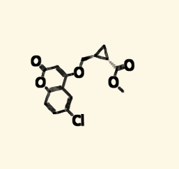 COC(=O)[C@H]1C[C@@H]1COc1cc(=O)oc2ccc(Cl)cc12